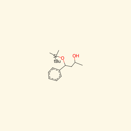 CC(O)CC(O[Si](C)(C)C(C)(C)C)c1ccccc1